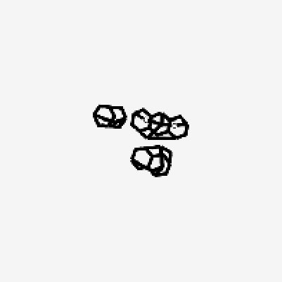 C1C2C3CC4CC2C2C5CC6CC(C15)C3C2(C4)C6.C1C2CC3C4CC5CC(C14)C(C2)C3C5.C1C2CC3CC1CC(C2)C3